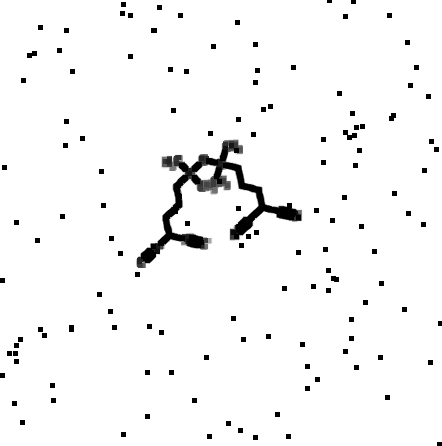 [C-]#[N+]C(CCC[Si](C)(C)O[Si](C)(C)CCCC(C#N)C#N)[N+]#[C-]